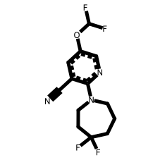 N#Cc1cc(OC(F)F)cnc1N1CCCC(F)(F)CC1